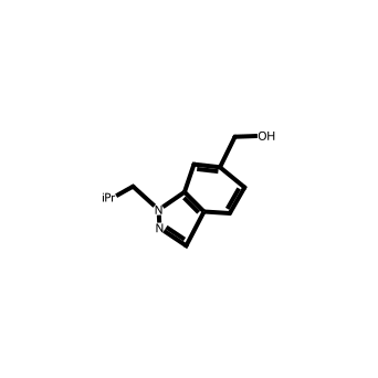 CC(C)Cn1ncc2ccc(CO)cc21